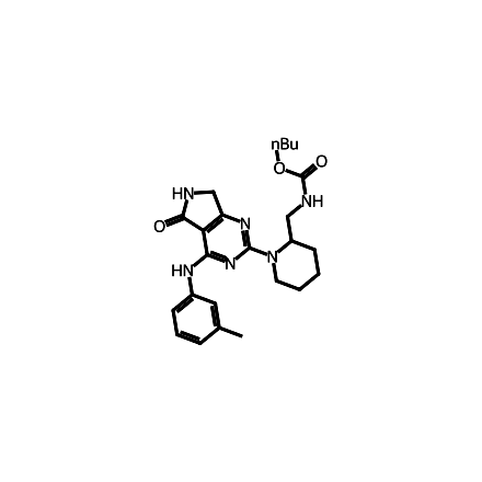 CCCCOC(=O)NCC1CCCCN1c1nc2c(c(Nc3cccc(C)c3)n1)C(=O)NC2